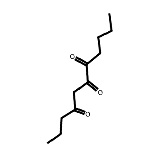 CCCCC(=O)C(=O)CC(=O)CCC